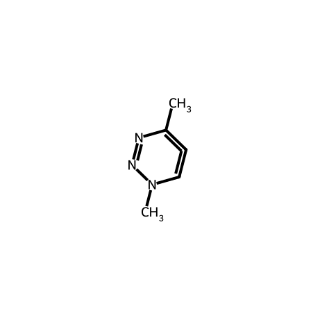 CC1=C=CN(C)N=N1